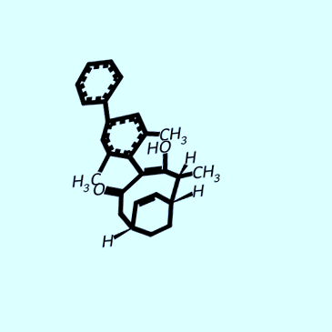 Cc1cc(-c2ccccc2)cc(C)c1/C1=C(\O)[C@H](C)[C@H]2C=C[C@H](CC2)CC1=O